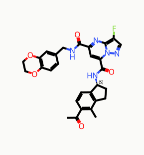 CC(=O)c1ccc2c(c1C)CC[C@@H]2NC(=O)c1cc(C(=O)NCc2ccc3c(c2)OCCO3)nc2c(F)cnn12